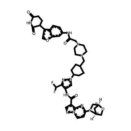 O=C1CCC(c2coc3cc(NC(=O)CN4CCN(CC5CCC(n6cc(NC(=O)c7cnn8ccc(N9C[C@@H]%10C[C@H]9CO%10)nc78)c(C(F)F)n6)CC5)CC4)ccc23)C(=O)N1